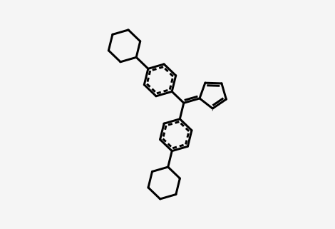 [C]1=CC=CC1=C(c1ccc(C2CCCCC2)cc1)c1ccc(C2CCCCC2)cc1